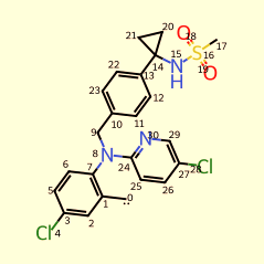 [CH]c1cc(Cl)ccc1N(Cc1ccc(C2(NS(C)(=O)=O)CC2)cc1)c1ccc(Cl)cn1